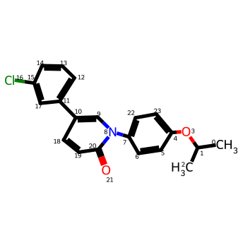 CC(C)Oc1ccc(-n2cc(-c3cccc(Cl)c3)ccc2=O)cc1